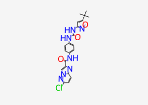 CC(C)(C)c1cc(NC(=O)Nc2ccc(NC(=O)c3cn4nc(Cl)ccc4n3)cc2)no1